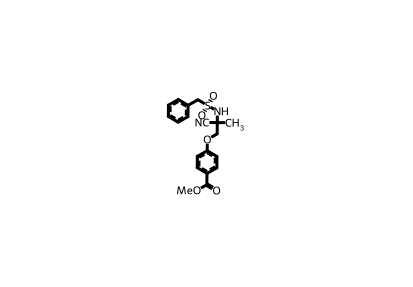 COC(=O)c1ccc(OCC(C)(C#N)NS(=O)(=O)Cc2ccccc2)cc1